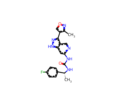 Cc1nocc1-c1n[nH]c2cc(NC(=O)N[C@H](C)c3ccc(F)cc3)ncc12